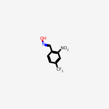 O=[N+]([O-])c1cc(C(F)(F)F)ccc1C=NO